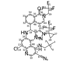 CC(C)(C)CNc1c(C#N)cnc2c(Cl)cc(NC(c3cn(C4(C(F)(F)F)CC4)nn3)c3cccc4c(=O)n(CC(F)(F)F)ccc34)cc12